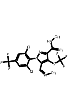 N=C(NO)c1nn(-c2c(Cl)cc(C(F)(F)F)cc2Cl)c(/C=N\O)c1SC(F)(F)F